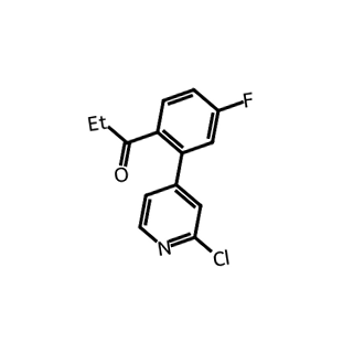 CCC(=O)c1ccc(F)cc1-c1ccnc(Cl)c1